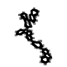 c1ccc2cc(-c3nc(-n4c5ccccc5c5c6ccc(-c7ccc(-c8ccc9sc%10ccccc%10c9c8)cc7)cc6ccc54)nc4ccccc34)ccc2c1